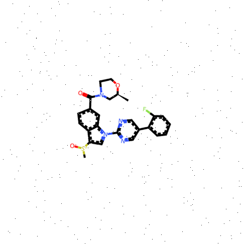 C[C@H]1CN(C(=O)c2ccc3c([S+](C)[O-])cn(-c4ncc(-c5ccccc5F)cn4)c3c2)CCO1